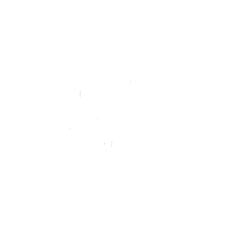 BC(c1ccccc1)C(C)(C)CC